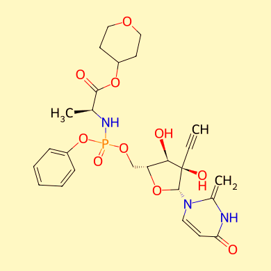 C#C[C@@]1(O)[C@H](O)[C@@H](COP(=O)(N[C@@H](C)C(=O)OC2CCOCC2)Oc2ccccc2)O[C@H]1N1C=CC(=O)NC1=C